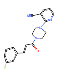 N#Cc1cccnc1N1CCN(C(=O)C=Cc2cccc(F)c2)CC1